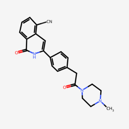 CN1CCN(C(=O)Cc2ccc(-c3cc4c(C#N)cccc4c(=O)[nH]3)cc2)CC1